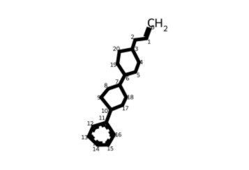 C=CCC1CCC(C2CCC(c3cc[c]cc3)CC2)CC1